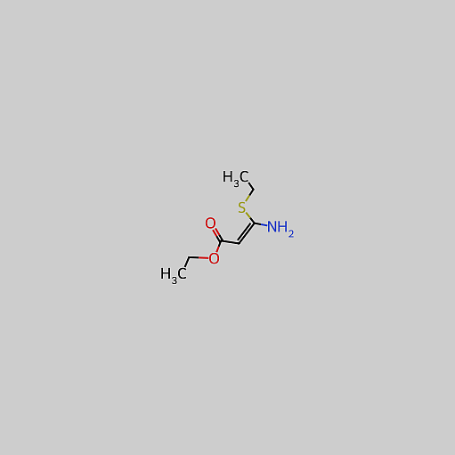 CCOC(=O)C=C(N)SCC